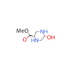 COC(=O)[C@H]1CNC(O)CN1